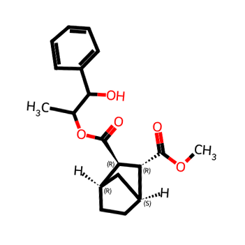 COC(=O)[C@@H]1[C@H]2CC[C@H](C2)[C@H]1C(=O)OC(C)C(O)c1ccccc1